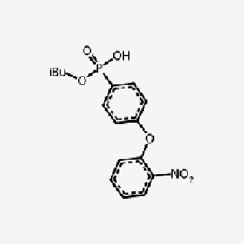 CCC(C)OP(=O)(O)c1ccc(Oc2ccccc2[N+](=O)[O-])cc1